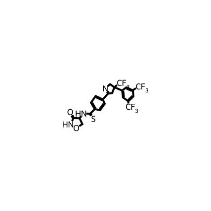 O=C1NOCC1NC(=S)c1ccc(C2=NCC(c3cc(C(F)(F)F)cc(C(F)(F)F)c3)(C(F)(F)F)C2)cc1